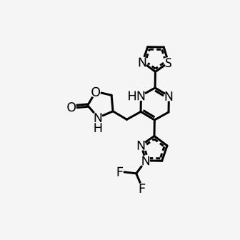 O=C1NC(CC2=C(c3ccn(C(F)F)n3)CN=C(c3nccs3)N2)CO1